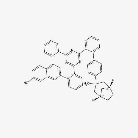 CC1(c2ccc(-c3ccccc3-c3nc(-c4ccccc4)nc(-c4ccccc4-c4ccc5ccc(C#N)cc5c4)n3)cc2)C[C@@H]2CC[C@@H](C2)C1